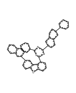 c1ccc(-c2ccc3cc(-c4nc(-c5ccccc5)nc(-c5cccc6oc7ccc(-c8ccc9ccccc9c8)cc7c56)n4)ccc3c2)cc1